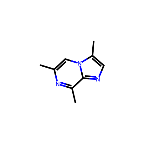 Cc1cn2c(C)cnc2c(C)n1